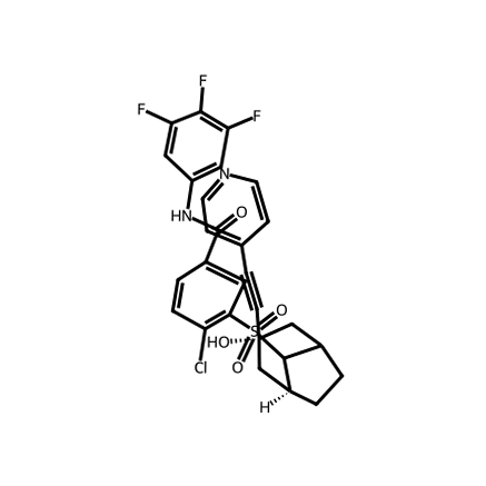 O=C(Nc1cc(F)c(F)c(F)c1)c1ccc(Cl)c(S(=O)(=O)C2C3CC[C@H]2C[C@@](O)(C#Cc2ccncc2)C3)c1